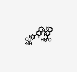 CNC(=O)Cn1cc(-c2cc3c(cc2C)N(c2nc(C(=O)NC)cc4cccnc24)CCC3)cn1